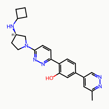 Cc1cc(-c2ccc(-c3ccc(N4CC[C@@H](NC5CCC5)C4)nn3)c(O)c2)cnn1